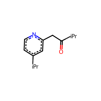 CC(C)C(=O)Cc1cc(C(C)C)ccn1